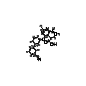 CO/C=C(/C(=O)O)c1c(Oc2cccc(-c3cccc(C#N)c3)c2)nc(C)nc1SC